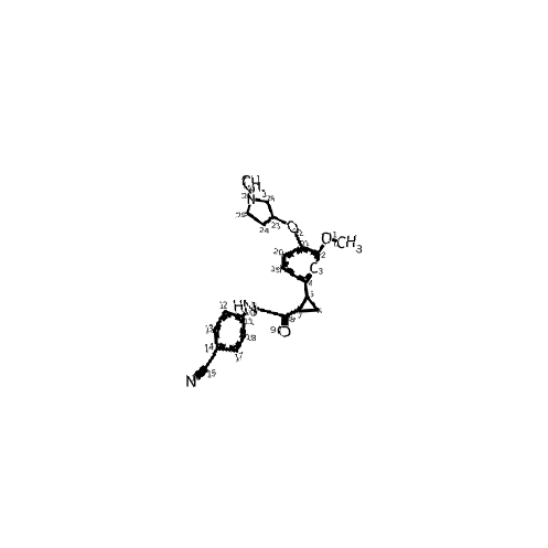 COc1cc(C2CC2C(=O)Nc2ccc(C#N)cc2)ccc1OC1CCN(C)C1